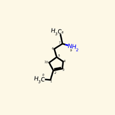 CCC1=CCC(CC(C)N)C1